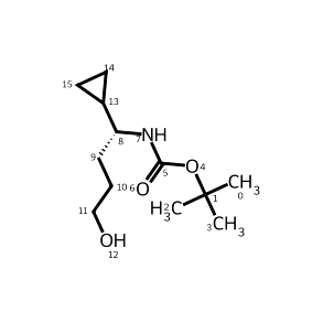 CC(C)(C)OC(=O)N[C@H](CCCO)C1CC1